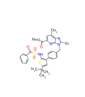 CCc1nc2c(C)cc(C(=O)OC)nc2n1Cc1ccc(-c2cc([Si](C)(C)C)sc2NS(=O)(=O)C(=O)c2ccccc2)cc1